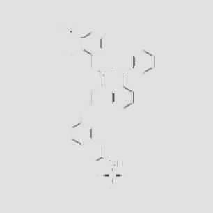 CS(=O)(=O)NC(=O)Cc1cccc(OCCCN(Cc2cccc(C(F)(F)F)c2Cl)CC(c2ccccc2)c2ccccc2)c1